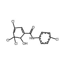 O=C(Nc1ccc(Cl)cc1)C1=CC(Cl)=CC(Cl)(Cl)C1O